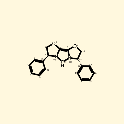 c1ccc([C@H]2COC3=C4OC[C@H](c5ccccc5)N4PN32)cc1